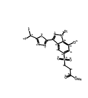 CCn1nc(-c2nnc(C(F)F)s2)c2cc(S(=O)(=O)CCC(=O)OC)cc(Cl)c21